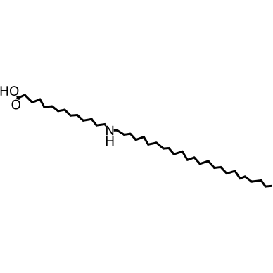 CCCCCCCCCCCCCCCCCCCCCCCCCNCCCCCCCCCCCCCC(=O)O